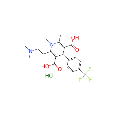 CC1=C(C(=O)O)C(c2ccc(C(F)(F)F)cc2)C(C(=O)O)=C(CCN(C)C)N1C.Cl